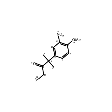 COc1ccc(C(C)(C)C(=O)CBr)cc1[N+](=O)[O-]